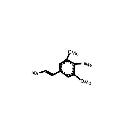 CCCCC=Cc1cc(OC)c(OC)c(OC)c1